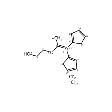 C[C](OCCO)=[Zr+2]([C]1=CC=CC1)[C]1=CC=CC1.[Cl-].[Cl-]